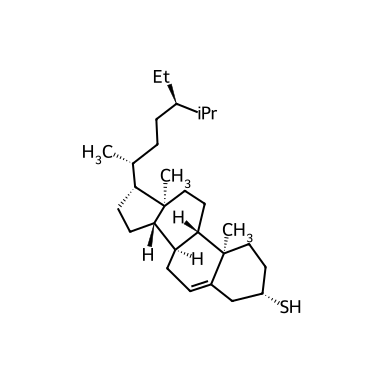 CC[C@H](CC[C@@H](C)[C@H]1CC[C@H]2[C@@H]3CC=C4C[C@@H](S)CC[C@]4(C)[C@H]3CC[C@]12C)C(C)C